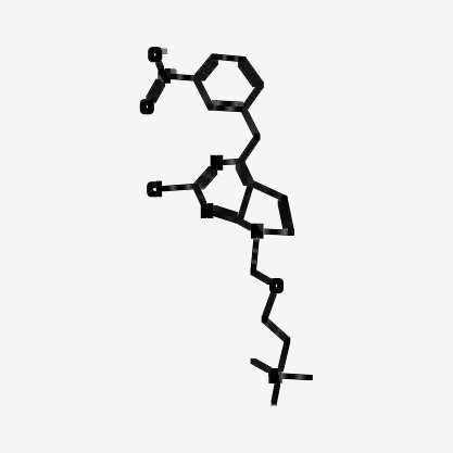 C[Si](C)(C)CCOCn1ccc2c(Cc3cccc([N+](=O)[O-])c3)nc(Cl)nc21